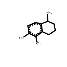 NC1CCCc2c1ccc(O)c2O